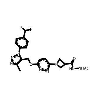 CC(=O)NNC(=O)C1CN(c2ccc(OCc3c(C)nnn3-c3ccc(C(F)F)cc3)nn2)C1